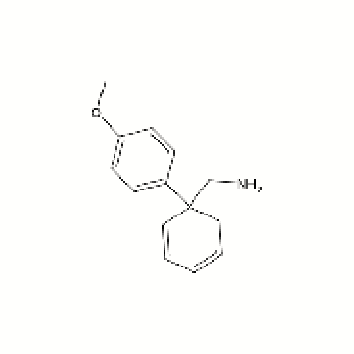 COc1ccc(C2(CN)C=CC=CC2)cc1